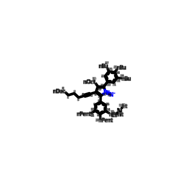 CCCCCCCCCCCCCC#CC1=C(c2cc(CCCCC)c(CCCCC)c(CCCCC)c2)[N+](=[N-])C(c2cc(CCCC)c(CCCC)c(CCCC)c2)=C1CCCCCCCC.C[CH2][Ni][CH2]C